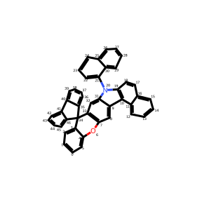 c1ccc2c(c1)Oc1cc3c4c5ccccc5ccc4n(-c4cccc5ccccc45)c3cc1C21c2ccccc2-c2ccccc21